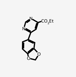 CCOC(=O)c1cc(-c2ccc3c(c2)OCO3)ncn1